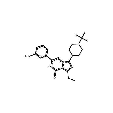 CCc1nc(C2CCC(C(C)(C)C)CC2)n2nc(-c3cccc(N)c3)[nH]c(=O)c12